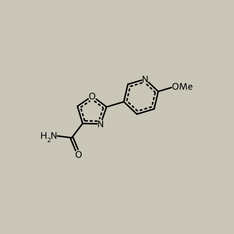 COc1ccc(-c2nc(C(N)=O)co2)cn1